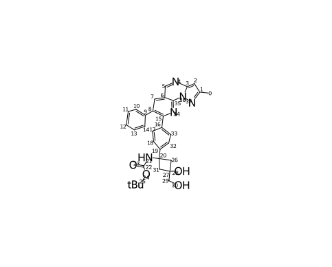 Cc1cc2ncc3cc(-c4ccccc4)c(-c4ccc(C5(NC(=O)OC(C)(C)C)CC(O)(CO)C5)cc4)nc3n2n1